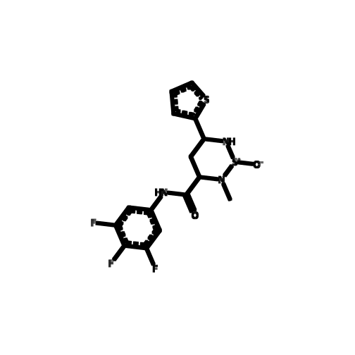 CN1C(C(=O)Nc2cc(F)c(F)c(F)c2)CC(c2cccs2)N[S+]1[O-]